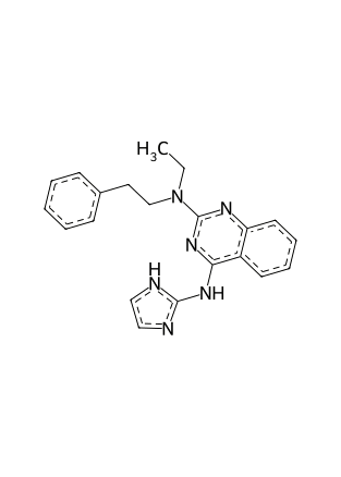 CCN(CCc1ccccc1)c1nc(Nc2ncc[nH]2)c2ccccc2n1